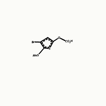 CSc1sc(OC(=O)O)cc1Br